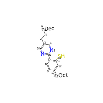 CCCCCCCCCCCCc1cnc(-c2ccc(CCCCCCCC)cc2S)nc1